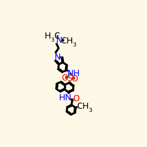 Cc1ccccc1C(=O)Nc1ccc(S(=O)(=O)Nc2ccc3cn(CCCN(C)C)cc3c2)c2ccccc12